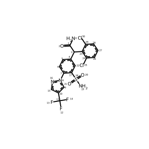 NC(=O)C(c1ccc(-n2cc(C(F)(F)F)cn2)c(S(N)(=O)=O)c1)c1c(Cl)cccc1Cl